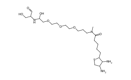 CN(CCCOCCOCCOCC(O)NC(C=O)CO)C(=O)CCCCC1SCC(N)C1N